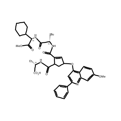 CC[C@H](NC(=O)C1CC(Oc2cc(-c3ccccc3)nc3cc(OC)ccc23)C=C1C(=O)N[C@H](C(=O)N[C@H](C(=O)OC)C1CCCCC1)C(C)(C)C)C(=O)O